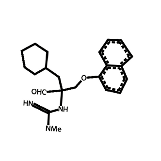 CNC(=N)NC(C=O)(COc1cccc2ccccc12)CC1CCCCC1